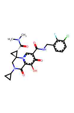 CN(C)C(=O)[C@H]1C[C@@]12CN(C1CC1)C(=O)c1c(O)c(=O)c(C(=O)NCc3cccc(Cl)c3F)cn12